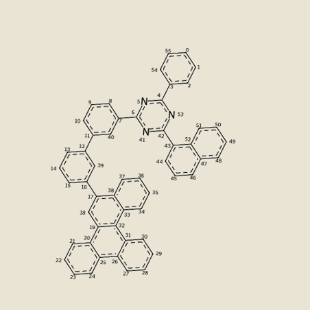 c1ccc(-c2nc(-c3cccc(-c4cccc(-c5cc6c7ccccc7c7ccccc7c6c6ccccc56)c4)c3)nc(-c3cccc4ccccc34)n2)cc1